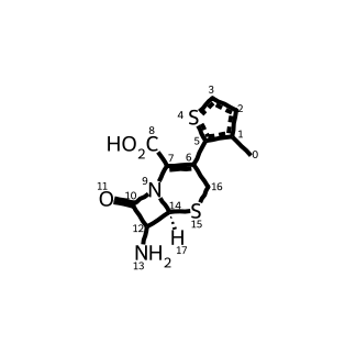 Cc1ccsc1C1=C(C(=O)O)N2C(=O)C(N)[C@@H]2SC1